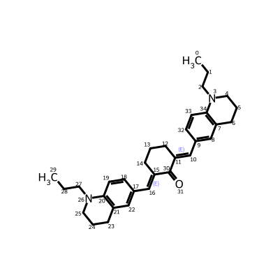 CCCN1CCCc2cc(/C=C3\CCC/C(=C\c4ccc5c(c4)CCCN5CCC)C3=O)ccc21